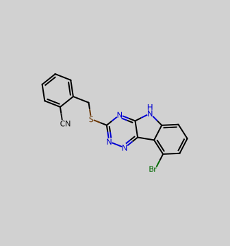 N#Cc1ccccc1CSc1nnc2c(n1)[nH]c1cccc(Br)c12